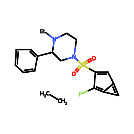 CC.CCN1CCN(S(=O)(=O)c2cc3cc-3c2F)CC1c1ccccc1